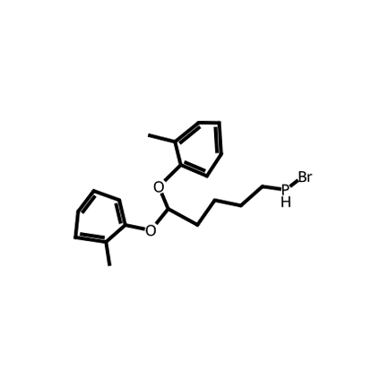 Cc1ccccc1OC(CCCCPBr)Oc1ccccc1C